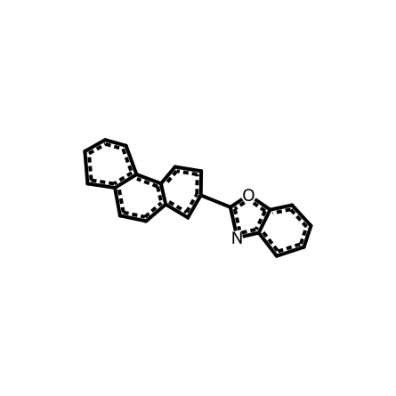 c1ccc2c(c1)ccc1cc(-c3nc4ccccc4o3)ccc12